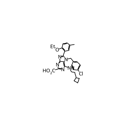 CCOc1ccc(C)cc1-c1nc2nc(C(=O)O)nc(NCCC3CCC3)c2n1Cc1ccc(Cl)cc1